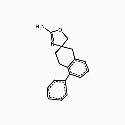 NC1=N[C@]2(CCc3c(cccc3-c3ccccc3)C2)CO1